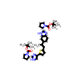 C/C(=C\c1ccc(-c2c[nH]c([C@@H]3CCCN3C(=O)OC(C)(C)C)n2)s1)c1ccc2nc([C@@H]3CCCN3C(=O)OC(C)(C)C)[nH]c2c1